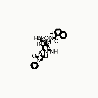 N=C1NC2[C@H](CN3C(=O)CN(c4ccccc4)C3=O)NC(=N)N3C[C@H](NC(=O)c4cccc5c4CCCC5)C(O)(O)C23N1